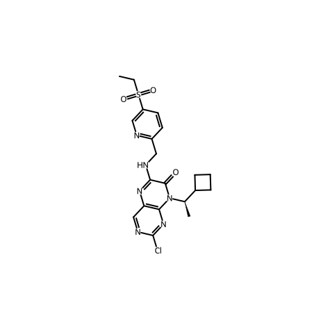 CCS(=O)(=O)c1ccc(CNc2nc3cnc(Cl)nc3n([C@H](C)C3CCC3)c2=O)nc1